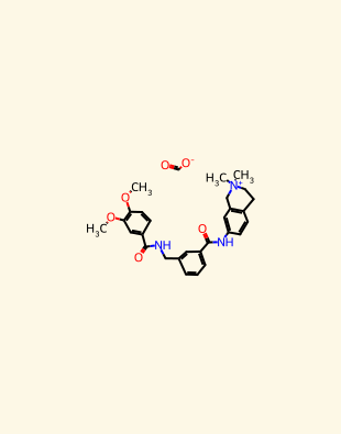 COc1ccc(C(=O)NCc2cccc(C(=O)Nc3ccc4c(c3)C[N+](C)(C)CC4)c2)cc1OC.O=C[O-]